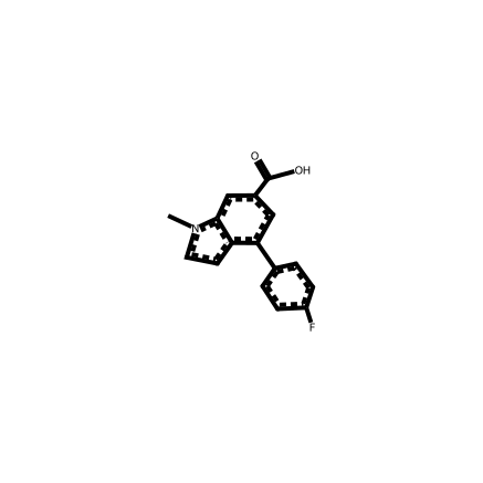 Cn1ccc2c(-c3ccc(F)cc3)cc(C(=O)O)cc21